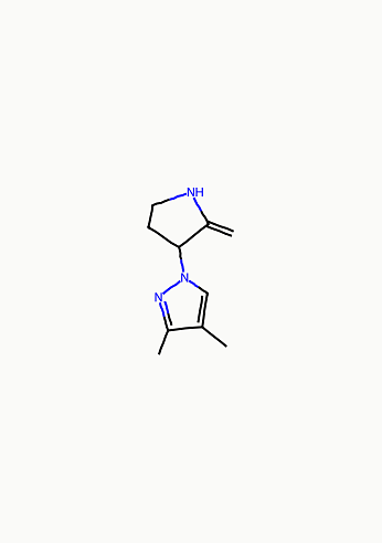 C=C1NCCC1n1cc(C)c(C)n1